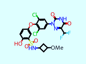 COC1CC(NS(=O)(=O)c2cc(Oc3c(Cl)cc(-n4nc(C(F)F)c(=O)[nH]c4=O)cc3Cl)ccc2O)C1